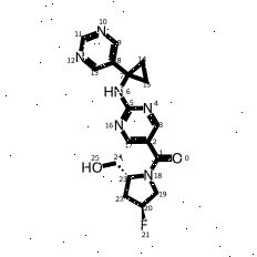 O=C(c1cnc(NC2(c3cncnc3)CC2)nc1)N1C[C@@H](F)C[C@@H]1CO